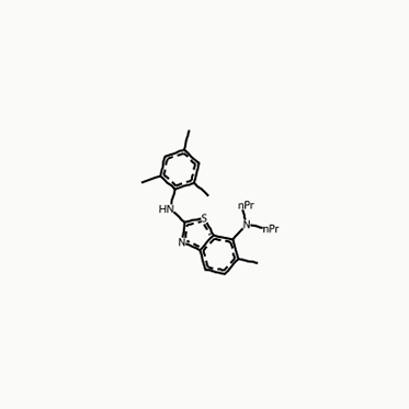 CCCN(CCC)c1c(C)ccc2nc(Nc3c(C)cc(C)cc3C)sc12